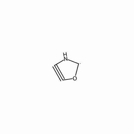 C1#CO[CH]N1